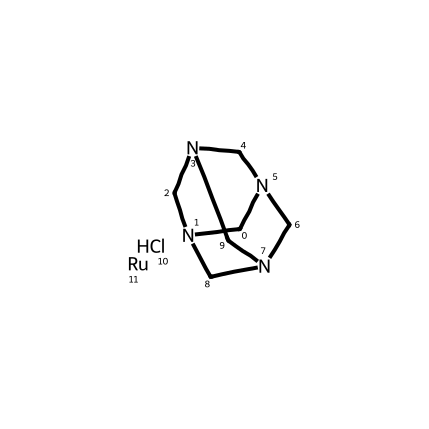 C1N2CN3CN1CN(C2)C3.Cl.[Ru]